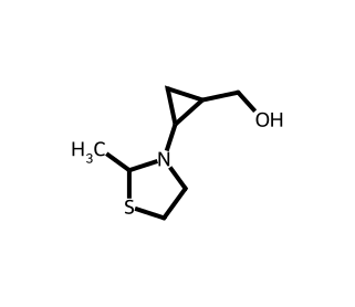 CC1SCCN1C1CC1CO